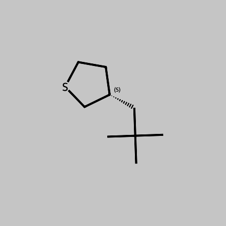 CC(C)(C)C[C@H]1CCSC1